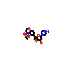 C=CS(=O)(=O)N1CCOc2ccc(-c3csc4c(=O)cc(N5CCNCC5)oc34)cc21